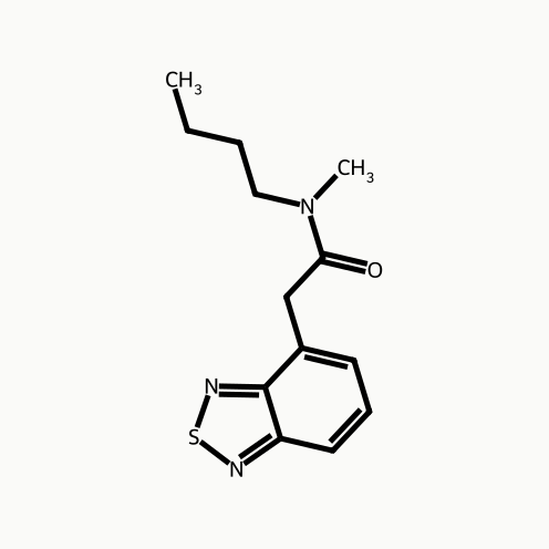 CCCCN(C)C(=O)Cc1cccc2nsnc12